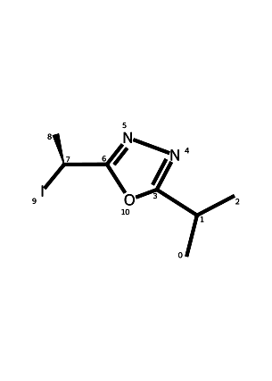 CC(C)c1nnc([C@H](C)I)o1